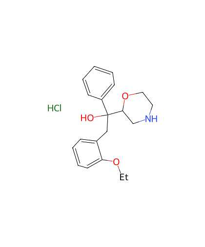 CCOc1ccccc1CC(O)(c1ccccc1)C1CNCCO1.Cl